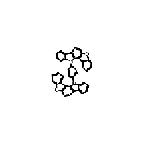 c1ccc2c(c1)oc1ccc3c4ccccc4n(-c4ccc(-n5c6ccccc6c6ccc7oc8ccccc8c7c65)cc4)c3c12